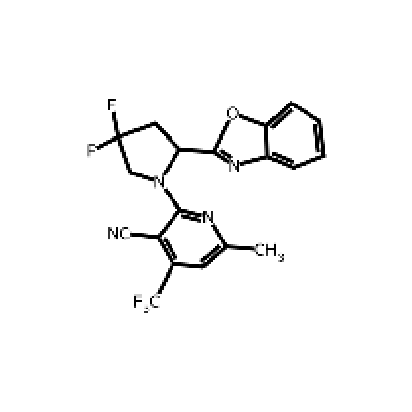 Cc1cc(C(F)(F)F)c(C#N)c(N2CC(F)(F)CC2c2nc3ccccc3o2)n1